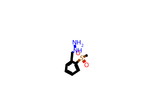 CS(=O)(=O)c1ccccc1CNN